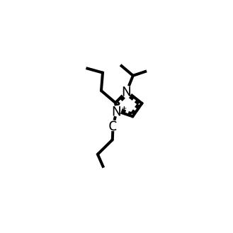 CCCC[n+]1ccn(C(C)C)c1CCC